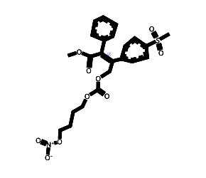 COC(=O)/C(=C(\COC(=O)OCCCCO[N+](=O)[O-])c1ccc(S(C)(=O)=O)cc1)c1ccccc1